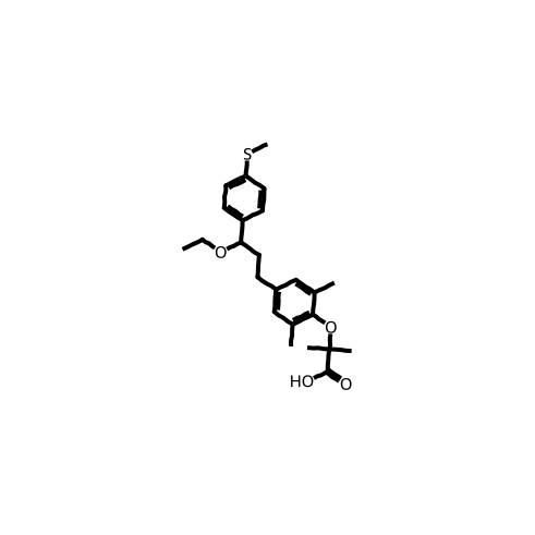 CCOC(CCc1cc(C)c(OC(C)(C)C(=O)O)c(C)c1)c1ccc(SC)cc1